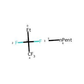 CCC(F)(F)C(F)(F)F.CCCCCC